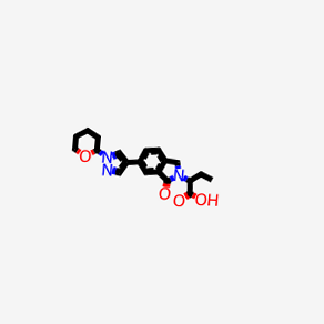 CCC(C(=O)O)N1Cc2ccc(-c3cnn(C4CCCCO4)c3)cc2C1=O